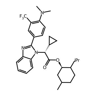 CC1CCC(C(C)C)[C@H](OC(=O)[C@@H](C2CC2)n2c(-c3ccc(N(C)C)c(C(F)(F)F)c3)nc3ccccc32)C1